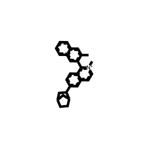 Cc1cc2ccccc2cc1-c1c2ccc(C3CC4CCC3C4)cc2cc[n+]1C